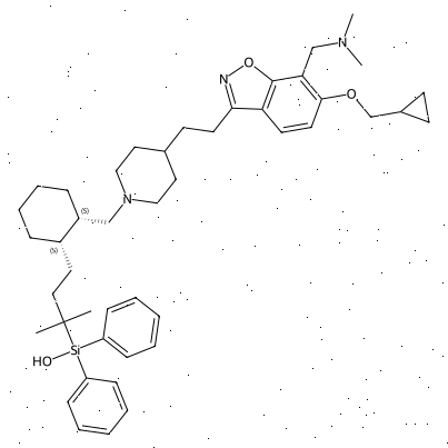 CN(C)Cc1c(OCC2CC2)ccc2c(CCC3CCN(C[C@H]4CCCC[C@H]4CCC(C)(C)[Si](O)(c4ccccc4)c4ccccc4)CC3)noc12